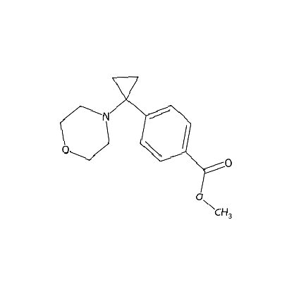 COC(=O)c1ccc(C2(N3CCOCC3)CC2)cc1